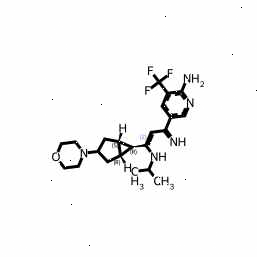 CC(C)N/C(=C\C(=N)c1cnc(N)c(C(F)(F)F)c1)[C@H]1[C@@H]2CC(N3CCOCC3)C[C@@H]21